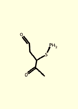 CC(=O)C(CC=O)SP